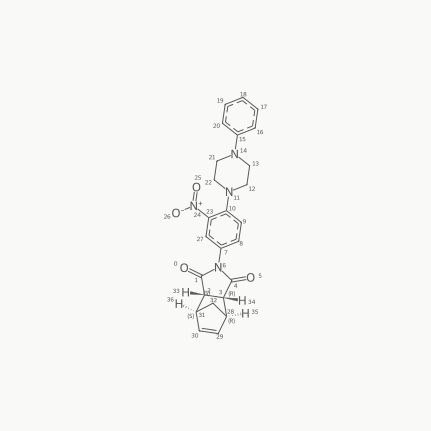 O=C1[C@@H]2[C@H](C(=O)N1c1ccc(N3CCN(c4ccccc4)CC3)c([N+](=O)[O-])c1)[C@H]1C=C[C@@H]2C1